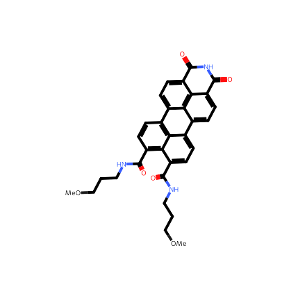 COCCCNC(=O)c1ccc2c3ccc4c5c(ccc(c6ccc(C(=O)NCCCOC)c1c26)c53)C(=O)NC4=O